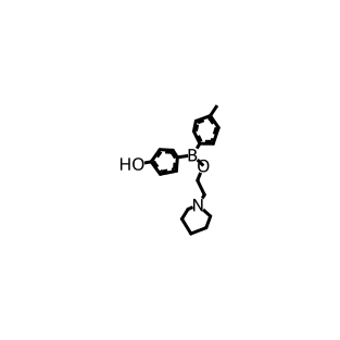 Cc1ccc(B(OCCN2CCCCC2)c2ccc(O)cc2)cc1